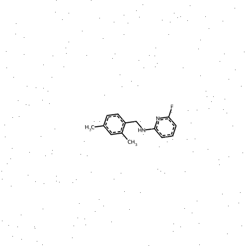 Cc1ccc(CNc2cccc(F)n2)c(C)c1